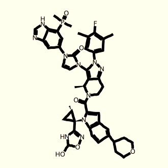 Cc1cc(-n2nc3c(c2-n2ccn(-c4cc(P(C)(C)=O)c5[nH]cnc5c4)c2=O)[C@H](C)N(C(=O)c2cc4cc(C5CCOCC5)ccc4n2[C@@]2(C4=NOC(O)N4)C[C@@H]2C)CC3)cc(C)c1F